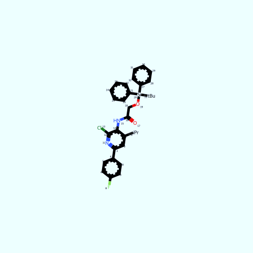 CC(C)c1cc(-c2ccc(F)cc2)nc(Cl)c1NC(=O)CO[Si](c1ccccc1)(c1ccccc1)C(C)(C)C